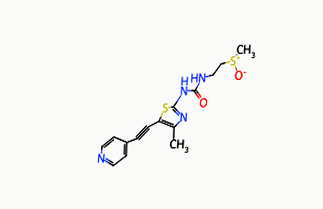 Cc1nc(NC(=O)NCC[S+](C)[O-])sc1C#Cc1ccncc1